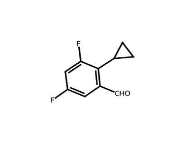 O=Cc1cc(F)cc(F)c1C1CC1